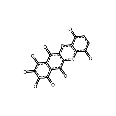 O=c1c(=O)c(=O)c2c(=O)c3nc4c(=O)ccc(=O)c4nc3c(=O)c2c1=O